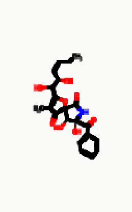 CC/C=C\[C@H](O)[C@H](O)C1=C(C)C(=O)[C@]2(O1)C(=O)N[C@@](O)(C(=O)c1ccccc1)[C@@H]2O